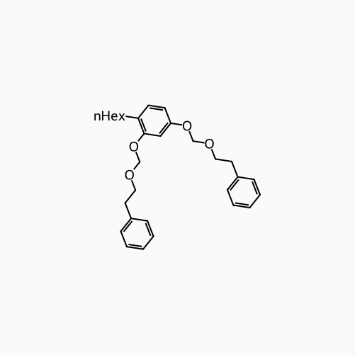 CCCCCCc1ccc(OCOCCc2ccccc2)cc1OCOCCc1ccccc1